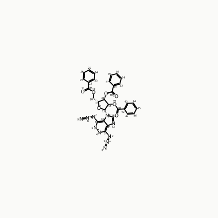 [N-]=[N+]=Nc1nnc(N=[N+]=[N-])c2c1ncn2[C@@H]1O[C@H](COC(=O)c2ccccc2)[C@@H](OC(=O)c2ccccc2)[C@H]1OC(=O)c1ccccc1